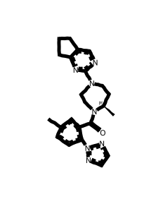 Cc1ccc(-n2nccn2)c(C(=O)N2CCN(c3ncc4c(n3)CCC4)CC[C@H]2C)c1